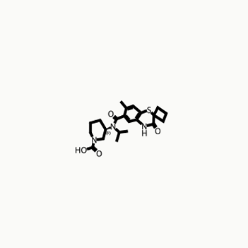 Cc1cc2c(cc1C(=O)N(C(C)C)[C@@H]1CCCN(C(=O)O)C1)NC(=O)C1(CCC1)S2